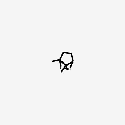 CC12CCC(OO1)C2(C)C